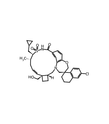 C[C@H]1C/C=C\[C@@]2(CO)CC[C@H]2CN2C[C@@]3(CCCc4cc(Cl)ccc43)COc3ccc(cc32)C(=O)NS(=O)(=O)[C@@H]1CC1CC1